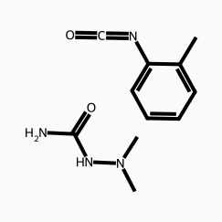 CN(C)NC(N)=O.Cc1ccccc1N=C=O